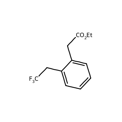 CCOC(=O)Cc1ccccc1CC(F)(F)F